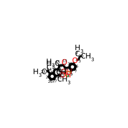 CC(C)COc1ccc(Cl)c(CC(=O)[C@@H](C)[C@@H](CO)Cc2c(C(C)C)cccc2C(C)(C)O)c1